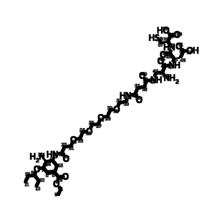 CCOC(=O)C1=CC(OC(CC)CC)[C@H](N)[C@@H](NC(=O)CCOCCOCCOCCOCCNC(=O)CCC(=O)NC[C@H](N)C(=O)N[C@@H](CC(=O)O)C(=O)N[C@@H](CS)C(=O)O)C1